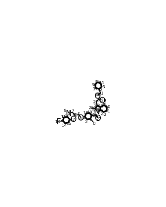 Cc1cc(OC[C@@H]2CN(C)c3cc(F)ccc3O2)ccc1C(=O)n1c(C)c(CC(=O)OCc2ccccc2)c2ccccc21